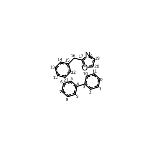 c1ccc(-c2ccccc2)cc1.c1ccc(Cc2ncco2)cc1